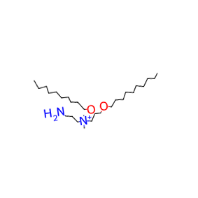 CCCCCCCCCCOCC(C[N+](C)(C)CCCN)OCCCCCCCCCC